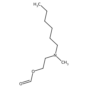 CCCCCCN(C)CCOC=O